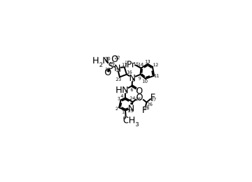 Cc1ccc(NC(=O)N(c2ccccc2C(C)C)C2CN(S(N)(=O)=O)C2)c(OC(F)F)n1